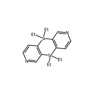 CC[Si]1(CC)c2ccncc2[Si](CC)(CC)c2ccncc21